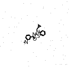 CN(C)c1cccc(C(=O)/N=c2\sc3ccccc3n2CC2CC2)c1